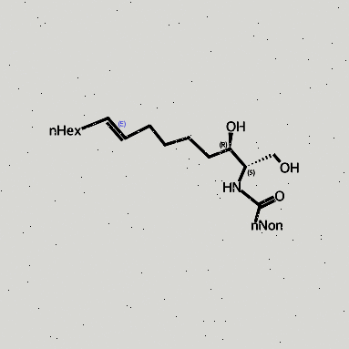 CCCCCC/C=C/CCCC[C@@H](O)[C@H](CO)NC(=O)CCCCCCCCC